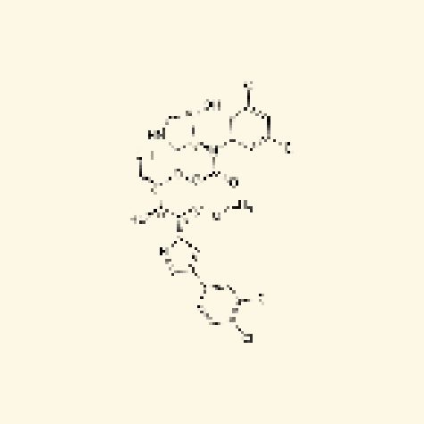 CO[C@@H]1[C@@H](n2cc(-c3ccc(Cl)c(Cl)c3)nn2)[C@@H](O)[C@@H](CO)O[C@H]1C(=O)N(c1cc(Cl)cc(Cl)c1)[C@H]1CNC[C@@H]1O